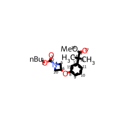 CCCCOC(=O)N1CC(Oc2cccc(C(C)(C)C(=O)OC)c2)C1